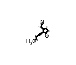 CCCC#CC1C(=O)CCC1CC#N